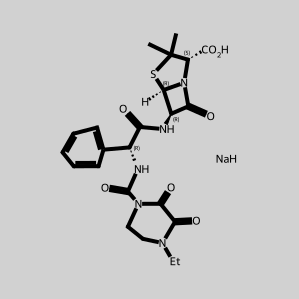 CCN1CCN(C(=O)N[C@@H](C(=O)N[C@@H]2C(=O)N3[C@@H]2SC(C)(C)[C@@H]3C(=O)O)c2ccccc2)C(=O)C1=O.[NaH]